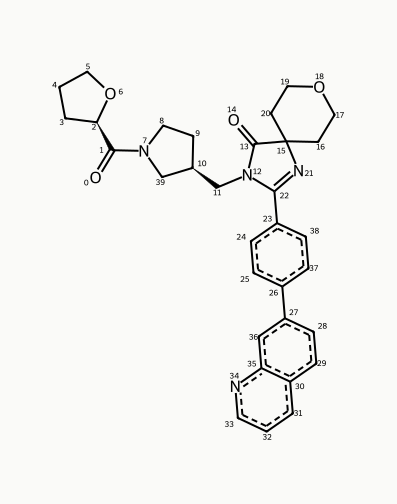 O=C([C@H]1CCCO1)N1CC[C@@H](CN2C(=O)C3(CCOCC3)N=C2c2ccc(-c3ccc4cccnc4c3)cc2)C1